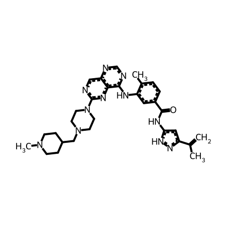 C=C(C)c1cc(NC(=O)c2ccc(C)c(Nc3ncnc4cnc(N5CCN(CC6CCN(C)CC6)CC5)nc34)c2)[nH]n1